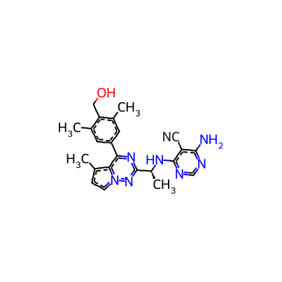 Cc1cc(-c2nc([C@H](C)Nc3ncnc(N)c3C#N)nn3ccc(C)c23)cc(C)c1CO